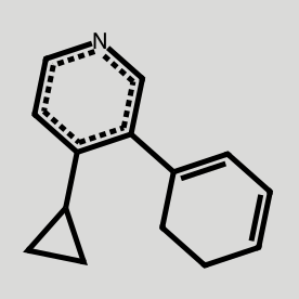 C1=CCCC(c2cnccc2C2CC2)=C1